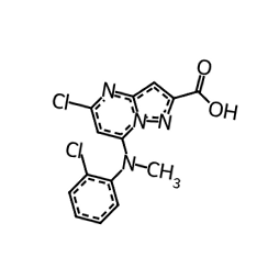 CN(c1ccccc1Cl)c1cc(Cl)nc2cc(C(=O)O)nn12